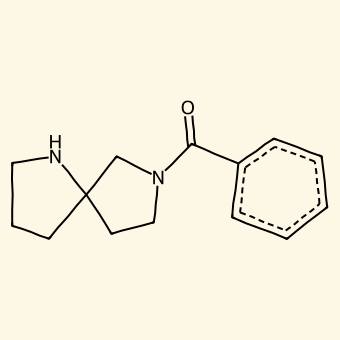 O=C(c1ccccc1)N1CCC2(CCCN2)C1